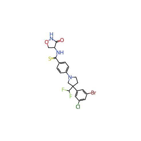 O=C1NOCC1NC(=S)c1ccc(N2CCC(c3cc(Cl)cc(Br)c3)(C(F)F)C2)cc1